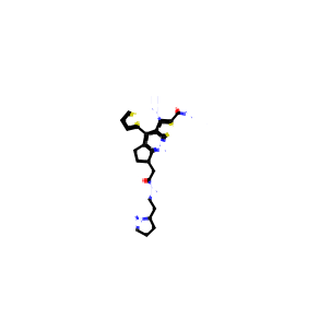 CN1CCCC1CCNC(=O)CC1CCc2c1nc1sc(C(N)=O)c(N)c1c2-c1cccs1